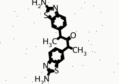 CC(C(=O)C(C)c1ccc2nc(N)sc2c1)c1ccc2nc(N)sc2c1